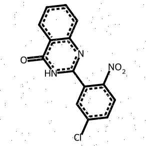 O=c1[nH]c(-c2cc(Cl)ccc2[N+](=O)[O-])nc2ccccc12